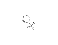 O=S(=O)(Cl)C1C=CCCC1